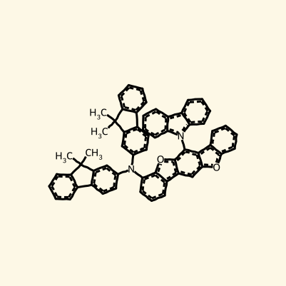 CC1(C)c2ccccc2-c2ccc(N(c3ccc4c(c3)C(C)(C)c3ccccc3-4)c3cccc4c3oc3c(-n5c6ccccc6c6ccccc65)c5c(cc34)oc3ccccc35)cc21